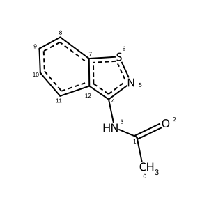 CC(=O)Nc1nsc2ccccc12